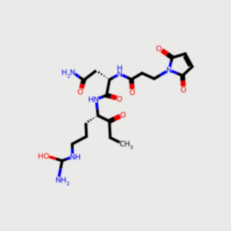 CCC(=O)[C@H](CCCNC(N)O)NC(=O)[C@H](CC(N)=O)NC(=O)CCN1C(=O)C=CC1=O